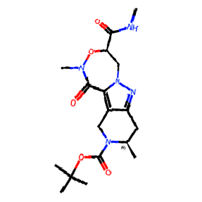 CNC(=O)C1Cn2nc3c(c2C(=O)N(C)O1)CN(C(=O)OC(C)(C)C)[C@H](C)C3